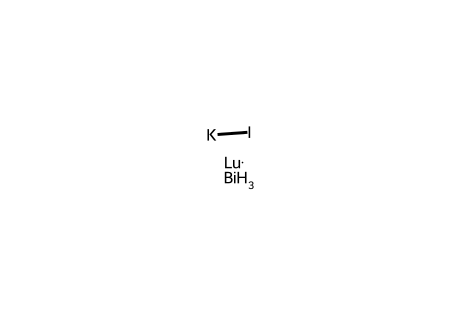 [BiH3].[K][I].[Lu]